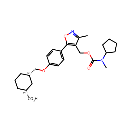 Cc1noc(-c2ccc(OC[C@H]3CCC[C@@H](C(=O)O)C3)cc2)c1COC(=O)N(C)C1CCCC1